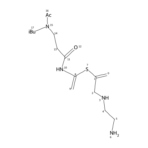 C=C(CNCCN)SC(=C)NC(=O)CCN(C(C)=O)C(C)CC